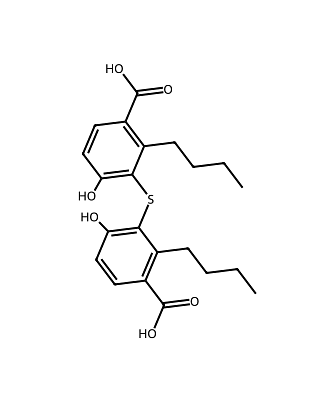 CCCCc1c(C(=O)O)ccc(O)c1Sc1c(O)ccc(C(=O)O)c1CCCC